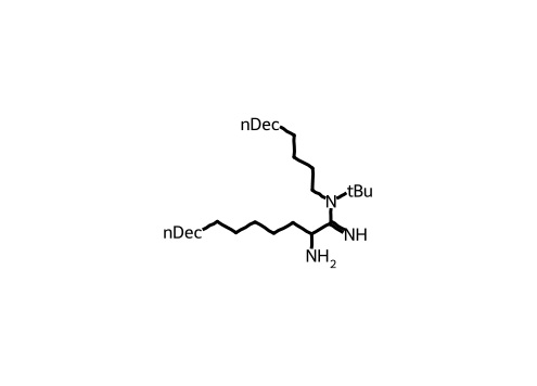 CCCCCCCCCCCCCCCC(N)C(=N)N(CCCCCCCCCCCCCC)C(C)(C)C